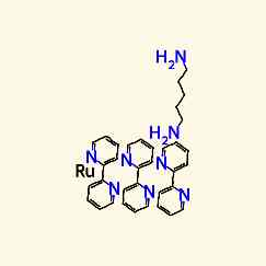 NCCCCCN.[Ru].c1ccc(-c2ccccn2)nc1.c1ccc(-c2ccccn2)nc1.c1ccc(-c2ccccn2)nc1